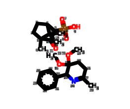 CC12CCC(C(S(=O)(=O)O)C1=O)C2(C)C.COC1(OC)CCC(C)=NC1c1ccccc1